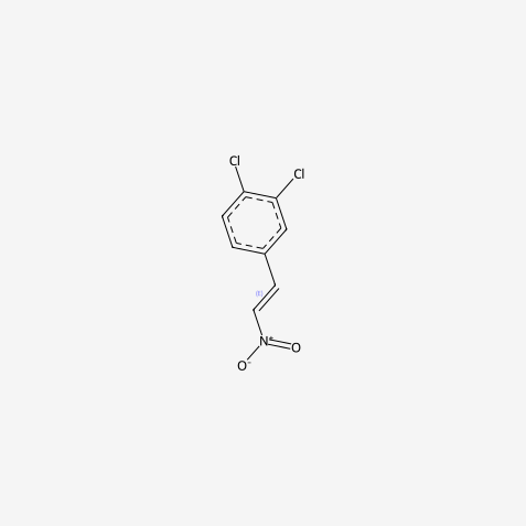 O=[N+]([O-])/C=C/c1ccc(Cl)c(Cl)c1